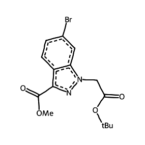 COC(=O)c1nn(CC(=O)OC(C)(C)C)c2cc(Br)ccc12